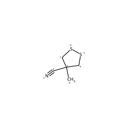 CC1(C#N)CSSC1